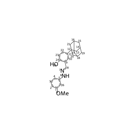 COc1cccc(NN=Cc2cc(C34CC5CC(CC(C5)C3)C4)ccc2O)c1